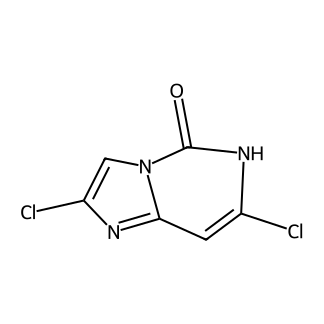 O=c1[nH]c(Cl)cc2nc(Cl)cn12